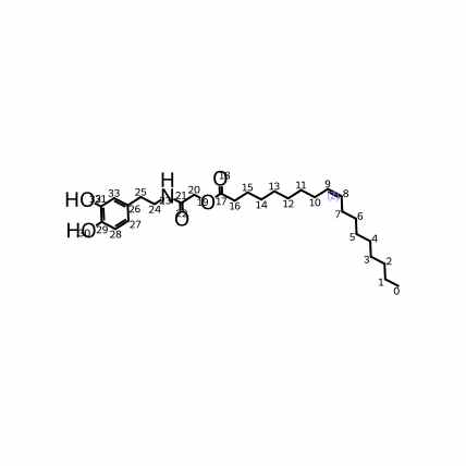 CCCCCCCC/C=C\CCCCCCCC(=O)OCC(=O)NCCc1ccc(O)c(O)c1